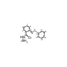 NNC(=O)c1ccccc1SCc1ccccc1